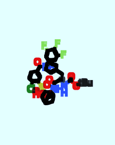 CC(C)(C)OC(=O)N[C@@H](Cc1ccccc1)C(=O)NCC1(O)C2CC1CC(S(=O)(=O)c1cc(C(=O)Nc3cc(F)c(F)c(F)c3)ccc1Cl)C2